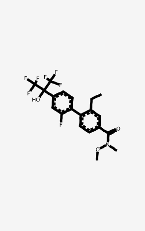 CCc1cc(C(=O)N(C)OC)ccc1-c1ccc(C(O)(C(F)(F)F)C(F)(F)F)cc1F